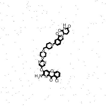 Nc1nc2c(=O)c3c(Cl)cccc3oc2cc1Oc1cnc(N2CCN(CC3CCN(c4ccc5c(c4)C(=O)N(C4CCC(=O)NC4=O)C5)CC3)CC2)nc1